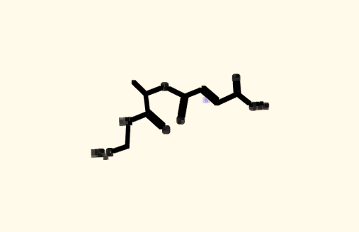 COC(=O)/C=C/C(=O)OC(C)C(=O)NCC(=O)O